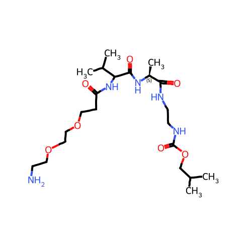 CC(C)COC(=O)NCCNC(=O)[C@H](C)NC(=O)C(NC(=O)CCOCCOCCN)C(C)C